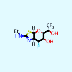 CCNC1=N[C@@H]2[C@H](F)[C@H](O)[C@@H]([C@@H](O)C(F)(F)F)O[C@@H]2S1